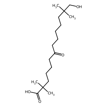 CC(C)(CO)CCCCCC(=O)CCCCC(C)(C)C(=O)O